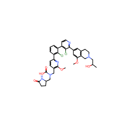 COc1cc(-c2nccc(-c3cccc(-c4ccc(CN(CC5CCC(=O)N5)C(=O)O)c(OC)n4)c3Cl)c2Cl)cc2c1CN(CC(C)O)CC2